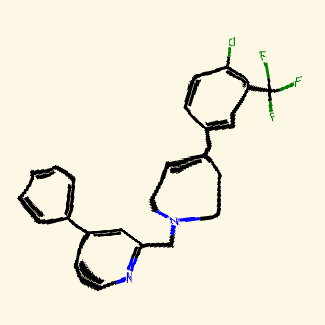 FC(F)(F)c1cc(C2=CCN(Cc3cc(-c4ccccc4)ccn3)CC2)ccc1Cl